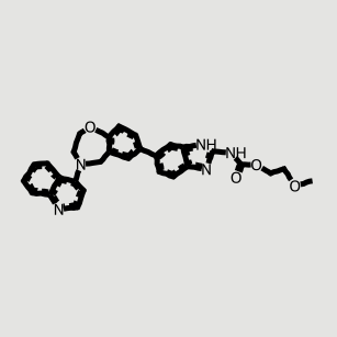 COCCOC(=O)Nc1nc2ccc(-c3ccc4c(c3)CN(c3ccnc5ccccc35)CCO4)cc2[nH]1